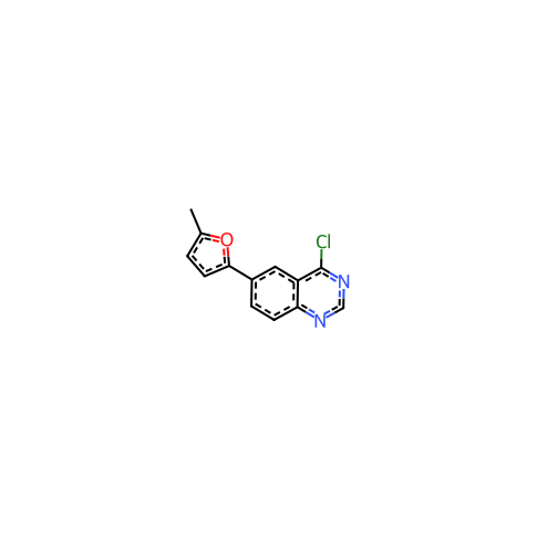 Cc1ccc(-c2ccc3ncnc(Cl)c3c2)o1